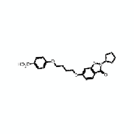 O=C(O)c1ccc(OCCCCOc2ccc3c(=O)n(C4CCCC4)sc3c2)cc1